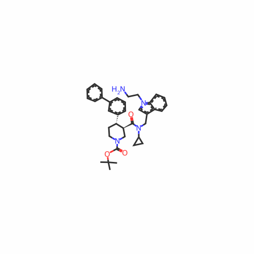 CC(C)(C)OC(=O)N1CC[C@H](c2cccc(-c3ccccc3)c2)[C@@H](C(=O)N(Cc2cn(CCN)c3ccccc23)C2CC2)C1